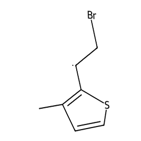 Cc1ccsc1[CH]CBr